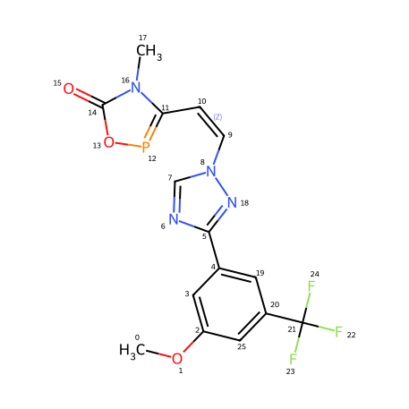 COc1cc(-c2ncn(/C=C\c3poc(=O)n3C)n2)cc(C(F)(F)F)c1